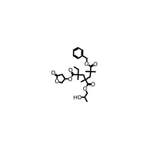 CCC(C)(CC(C)(CC(C)(C)C(=O)OCc1ccccc1)C(=O)OCC(C)O)C(=O)OC1COC(=O)C1